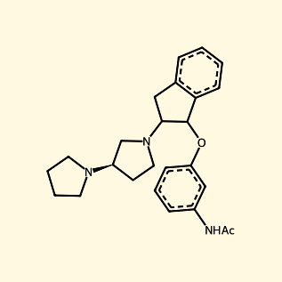 CC(=O)Nc1cccc(OC2c3ccccc3CC2N2CC[C@@H](N3CCCC3)C2)c1